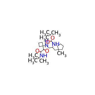 CC1(CC(CNC2(C(=O)C(=O)NC(C)(C)C)CCC2)NC(=O)OC(C)(C)C)CCCC1